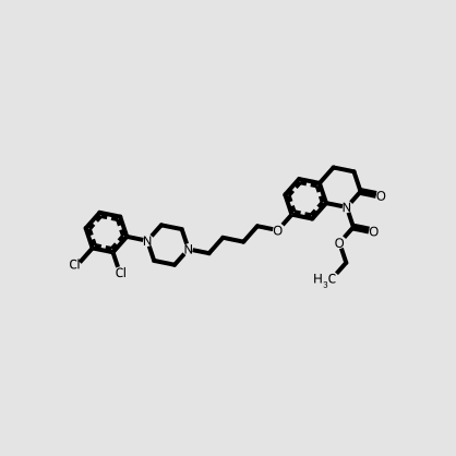 CCOC(=O)N1C(=O)CCc2ccc(OCCCCN3CCN(c4cccc(Cl)c4Cl)CC3)cc21